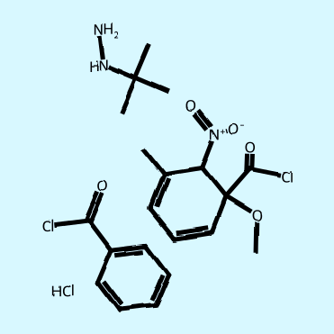 CC(C)(C)NN.COC1(C(=O)Cl)C=CC=C(C)C1[N+](=O)[O-].Cl.O=C(Cl)c1ccccc1